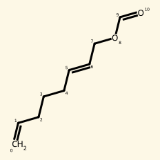 C=CCCCC=CCOC=O